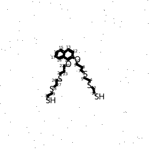 SCCSCCSCCCOc1ccc2ccccc2c1OCCCSCCSCCS